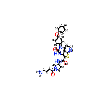 CN(C)CC=CC(=O)N1CCC(NC(=O)c2sc3nccc4c3c2NC(=O)N4c2ccc(Oc3ccccc3)cc2)C1